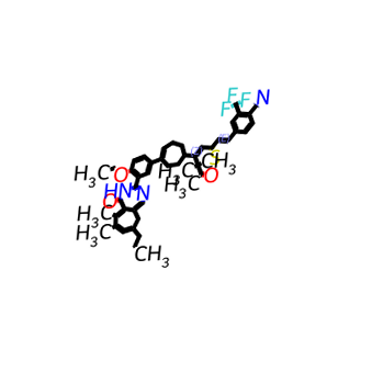 CCCC1=C=C(C)C(C)=C2C(=O)NC(c3cc(C4=CCCC(/C(=C/C(=S)/C=C/c5ccc(C#N)c(C(F)(F)F)c5)C(C)(C)C(C)=O)CC4)ccc3OCC)=NC=C2C1